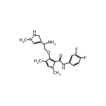 Cc1cn(C)c(C(=O)Nc2ccc(F)c(F)c2)c1OCC(N)C1=CN(C)NC1